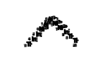 [Al-3].[Al-3].[In].[In].[In].[Ni+2].[Ni+2].[Ni+2].[Tl].[Tl].[Tl]